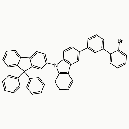 Brc1ccccc1-c1cccc(-c2ccc3c(c2)c2c(n3-c3ccc4c(c3)C(c3ccccc3)(c3ccccc3)c3ccccc3-4)CCC=C2)c1